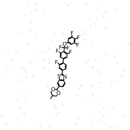 CC1COC(c2ccc3nc(-c4ccc(-c5cc(F)c(C(F)(F)Oc6cc(F)c(F)c(F)c6)c(F)c5)c(F)c4)sc3c2)OC1